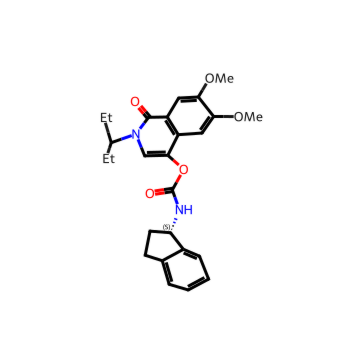 CCC(CC)n1cc(OC(=O)N[C@H]2CCc3ccccc32)c2cc(OC)c(OC)cc2c1=O